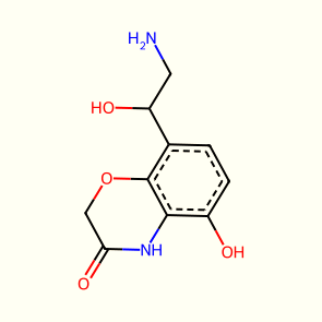 NCC(O)c1ccc(O)c2c1OCC(=O)N2